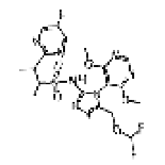 COc1ncnc(OC)c1-n1c(COC(F)F)nnc1NS(=O)(=O)C(C)C(C)c1ncc(Cl)cn1